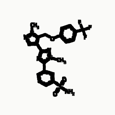 Cn1nc(-c2cnn(C)c2COc2ccc(C(F)(F)F)cc2)nc1-c1cccc(S(N)(=O)=O)c1